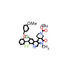 COc1ccc(COc2cccc(F)c2-c2c(Cl)cc3c(ncc4c3c3c(c(=O)n4C)CN(C(=O)OC(C)(C)C)CC3)c2F)cc1